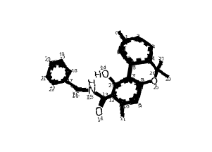 Cc1ccc2c(c1)-c1c(cc(C)c(C(=O)NCc3ccccc3)c1O)OC2(C)C